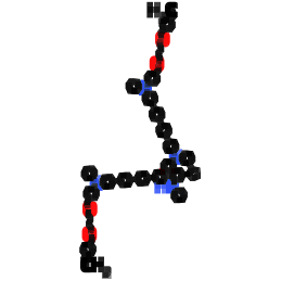 C=Cc1ccc(COCCCCOCc2ccc(N(c3ccccc3)c3ccc(-c4ccc(-c5ccc(-c6ccc(-c7ccc(C8=C(c9cccc(N(c%10ccccc%10)c%10ccc(-c%11ccc(-c%12ccc(-c%13ccc(N(c%14ccccc%14)c%14ccc(COCCCCOCc%15ccc(C=C)cc%15)cc%14)cc%13)cc%12)cc%11)cc%10)c9)CCC8)cc7Nc7ccccc7)cc6)cc5)cc4)cc3)cc2)cc1